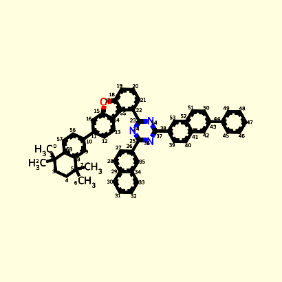 CC1(C)CCC(C)(C)c2cc(-c3ccc4c(c3)oc3cccc(-c5nc(-c6ccc7ccccc7c6)nc(-c6ccc7cc(-c8ccccc8)ccc7c6)n5)c34)ccc21